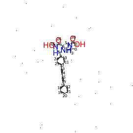 CC(C)(C)N(C[C@H](NCc1ccc(C#CC#Cc2ccccc2)cc1)C(=O)NO)C(=O)O